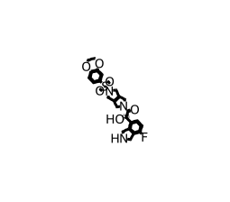 O=C([C@@H](O)c1ccc(F)c2c1CNC2)N1CC2=C(C1)CN(S(=O)(=O)c1ccc3c(c1)OCCO3)C2